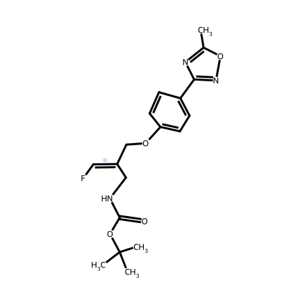 Cc1nc(-c2ccc(OC/C(=C/F)CNC(=O)OC(C)(C)C)cc2)no1